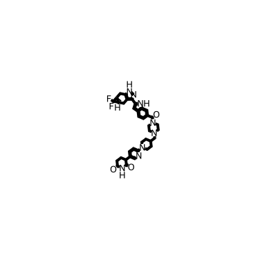 C[C@@]12Cc3[nH]nc(-c4cc5ccc(C(=O)N6CCN(CC7CCN(c8ccc(C9CCC(=O)NC9=O)cn8)CC7)CC6)cc5[nH]4)c3C[C@@H]1C2(F)F